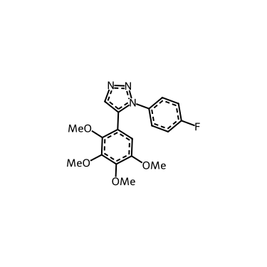 COc1cc(-c2cnnn2-c2ccc(F)cc2)c(OC)c(OC)c1OC